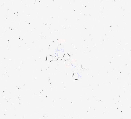 COc1ncccc1CN(C)S(=O)(=O)c1ccc(N2CC[C@H](O)C2)c(-c2[nH]c3ccccc3c2F)c1